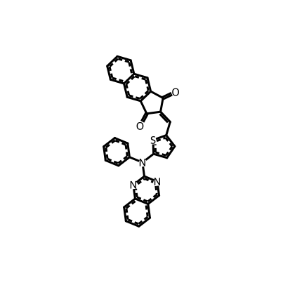 O=C1C(=Cc2ccc(N(c3ccccc3)c3ncc4ccccc4n3)s2)C(=O)c2cc3ccccc3cc21